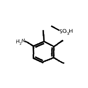 CS(=O)(=O)O.Cc1ccc(N)c(C)c1C